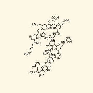 CC(C)C[C@H](NC(=O)[C@H](C)NC(=O)[C@H](Cc1c[nH]cn1)NC(=O)[C@@H](NC(=O)[C@H](CCCNC(=N)N)NC(=O)[C@@H](NC(=O)[C@H](CO)NC(=O)CNC(=O)[C@H](CCCCN)NC(=O)[C@H](CCC(=O)O)NC(=O)[C@H](CCCCN)NC(=O)[C@@H]1CCCN1C(=O)[C@H](CC(C)C)NC(=O)[C@@H](N)CCCCN)[C@@H](C)O)C(C)C)C(=O)N[C@@H](CC(N)=O)C(=O)O